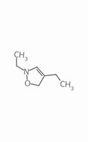 CCC1=CN(CC)OC1